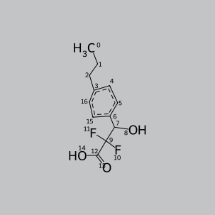 CCCc1ccc(C(O)C(F)(F)C(=O)O)cc1